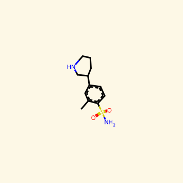 Cc1cc(C2CCCNC2)ccc1S(N)(=O)=O